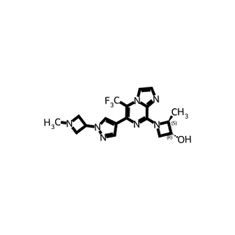 C[C@H]1[C@H](O)CN1c1nc(-c2cnn(C3CN(C)C3)c2)c(C(F)(F)F)n2ccnc12